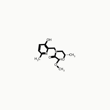 COCC(=O)N(Cc1nc(C)ccc1O)C[C@H](C)O